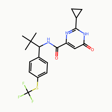 CC(C)(C)C(NC(=O)c1cc(=O)[nH]c(C2CC2)n1)c1ccc(SC(F)(F)F)cc1